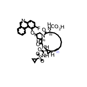 O=C(O)N[C@H]1CCCCC/C=C\[C@@H]2C[C@@]2(C(=O)NS(=O)(=O)C2CC2)NC(=O)[C@@H]2C[C@@H](Oc3c(F)ccc4ncc5ccccc5c34)CN2C1=O